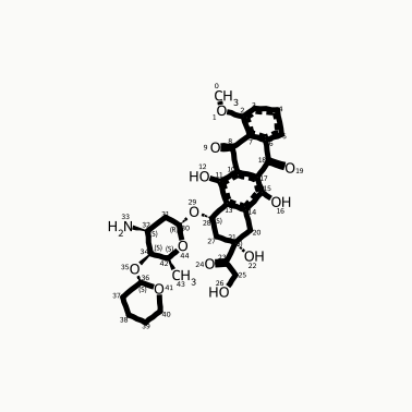 COc1cccc2c1C(=O)c1c(O)c3c(c(O)c1C2=O)C[C@@](O)(C(=O)CO)C[C@@H]3O[C@H]1C[C@H](N)[C@H](O[C@H]2CCCCO2)[C@H](C)O1